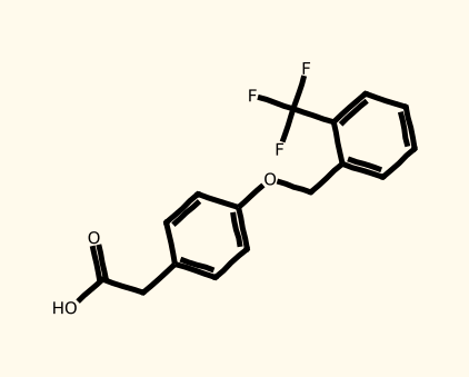 O=C(O)Cc1ccc(OCc2ccccc2C(F)(F)F)cc1